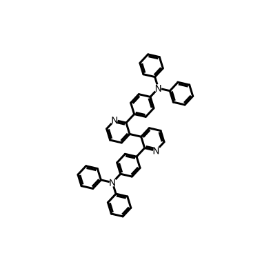 c1ccc(N(c2ccccc2)c2ccc(-c3ncccc3-c3cccnc3-c3ccc(N(c4ccccc4)c4ccccc4)cc3)cc2)cc1